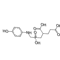 O=C(O)CCC(CP(=O)(O)CNc1ccc(O)cc1)C(=O)O